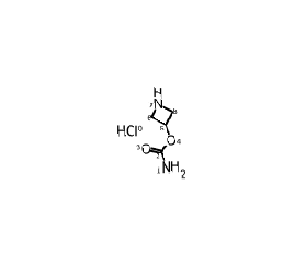 Cl.NC(=O)OC1CNC1